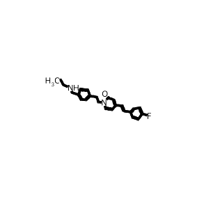 CCCNCc1ccc(CCn2ccc(C=Cc3ccc(F)cc3)cc2=O)cc1